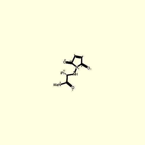 CNC(=O)[C@@H](NN1C(=O)C=CC1=O)C(C)C